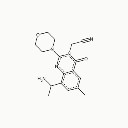 Cc1cc(C(C)N)c2nc(N3CCOCC3)n(CC#N)c(=O)c2c1